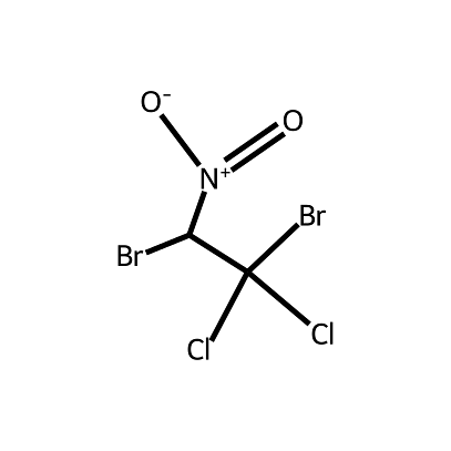 O=[N+]([O-])C(Br)C(Cl)(Cl)Br